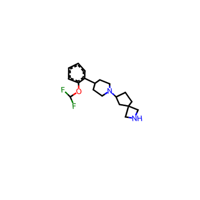 FC(F)Oc1ccccc1C1CCN(C2CCC3(CNC3)C2)CC1